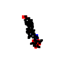 CC(=O)OC1[C@H](C)C(C)O[C@H](n2cc(CN3C[C@@H](C)C[C@H]4O[C@]5(CC[C@@H]6C(=C5C)C[C@H]5[C@H]6CC=C6C[C@@H](O)CC[C@@]65C)[C@H](C)[C@@H]43)nn2)[C@H]1OC(C)=O